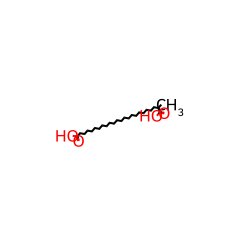 CC(CCCCCCCCCCCCCCCCCCCCCC(=O)O)C(=O)O